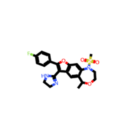 CC1OCCN(S(C)(=O)=O)c2cc3oc(-c4ccc(F)cc4)c(C4=NCCN4)c3cc21